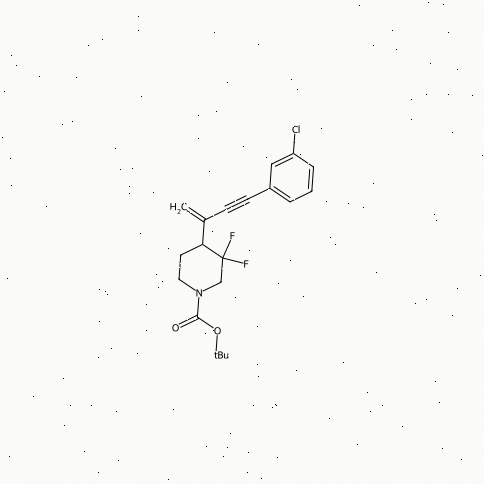 C=C(C#Cc1cccc(Cl)c1)C1CCN(C(=O)OC(C)(C)C)CC1(F)F